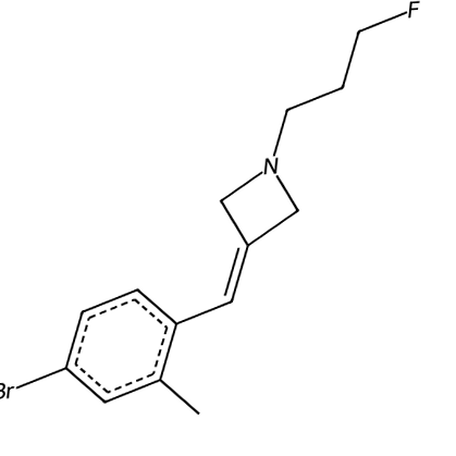 Cc1cc(Br)ccc1C=C1CN(CCCF)C1